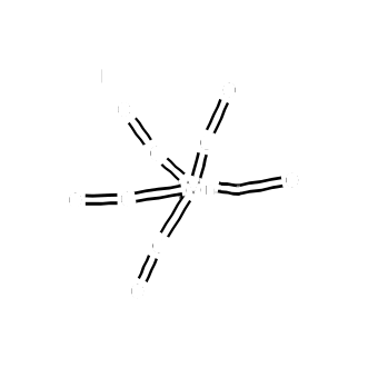 O=[C]=[Mn+](=[C]=O)(=[C]=O)(=[C]=O)=[C]=O.[I-]